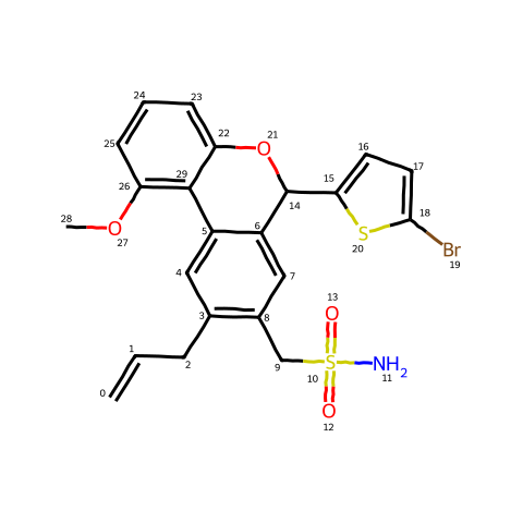 C=CCc1cc2c(cc1CS(N)(=O)=O)C(c1ccc(Br)s1)Oc1cccc(OC)c1-2